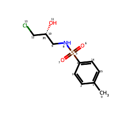 Cc1ccc(S(=O)(=O)NC[C@@H](O)CCl)cc1